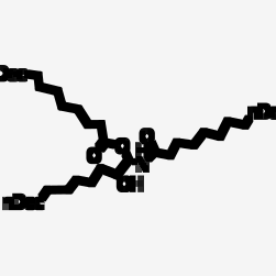 CCCCCCCCCCCCCCCCCC(=O)N[C@@H](OC(=O)CCCCCCCCCCCCCCCCC)[C@H](O)CCCCCCCCCCCCCCC